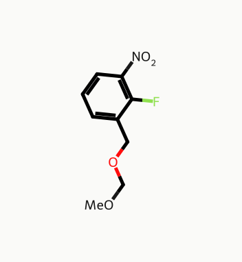 COCOCc1cccc([N+](=O)[O-])c1F